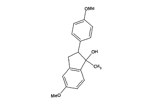 COc1ccc(C2Cc3cc(OC)ccc3C2(C)O)cc1